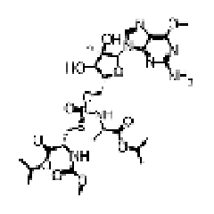 COC(=O)N[C@@H](CSP(=O)(N[C@H](C)C(=O)OC(C)C)OC[C@H]1O[C@@H](n2cnc3c(OC)nc(N)nc32)[C@](C)(O)[C@@H]1O)C(=O)OC(C)C